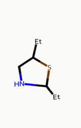 CCC1CNC(CC)S1